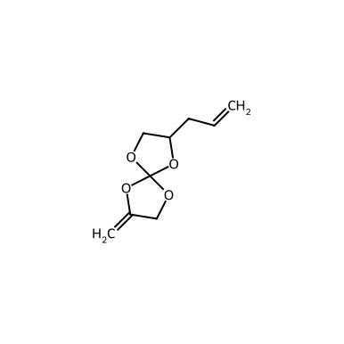 C=CCC1COC2(OCC(=C)O2)O1